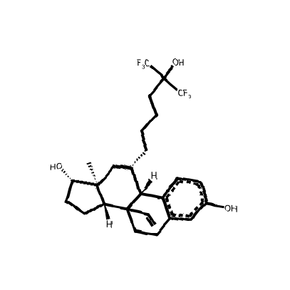 C=CC12CCc3cc(O)ccc3[C@H]1[C@@H](CCCCC(O)(C(F)(F)F)C(F)(F)F)C[C@]1(C)[C@@H](O)CC[C@@H]21